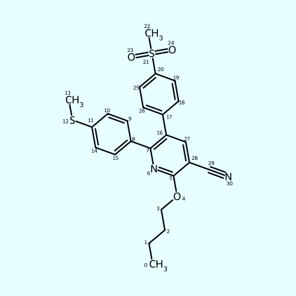 CCCCOc1nc(-c2ccc(SC)cc2)c(-c2ccc(S(C)(=O)=O)cc2)cc1C#N